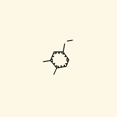 CCCCCCOc1ccc(O)c(C=O)c1